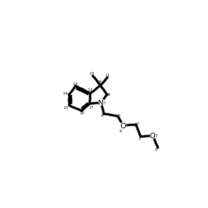 COCCOCCN1CC(C)(C)c2ccccc21